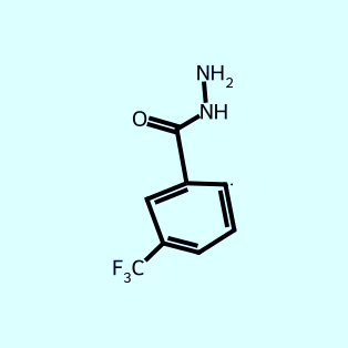 NNC(=O)c1[c]ccc(C(F)(F)F)c1